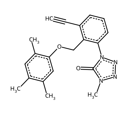 C#Cc1cccc(-n2nnn(C)c2=O)c1COc1cc(C)c(C)cc1C